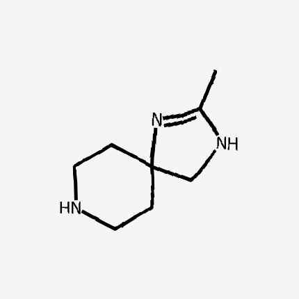 CC1=NC2(CCNCC2)CN1